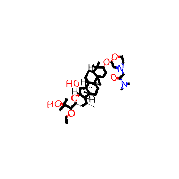 CCO[C@@H]([C@H]1C[C@@H](C)[C@H]2[C@H](O1)[C@H](O)[C@@]1(C)[C@@H]3CC[C@H]4C(C)(C)[C@@H](O[C@H]5CN(CC(=O)N(C)C)CCO5)CCC45C[C@@]35CC[C@]21C)C(C)(C)O